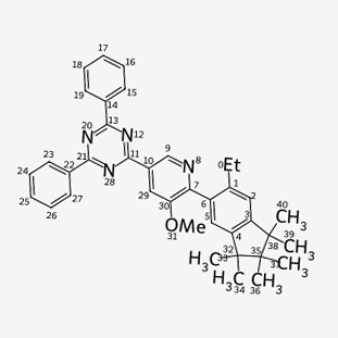 CCc1cc2c(cc1-c1ncc(-c3nc(-c4ccccc4)nc(-c4ccccc4)n3)cc1OC)C(C)(C)C(C)(C)C2(C)C